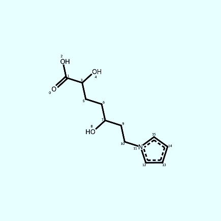 O=C(O)C(O)CCC(O)CCn1cccc1